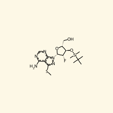 CSc1nn([C@@H]2O[C@H](CO)[C@@H](O[Si](C)(C)C(C)(C)C)[C@@H]2F)c2ncnc(N)c12